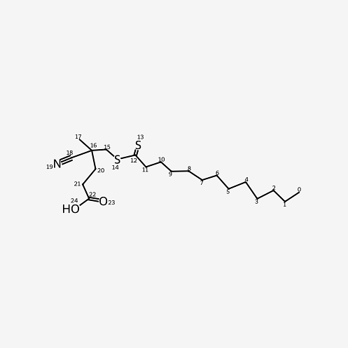 CCCCCCCCCCCCC(=S)SCC(C)(C#N)CCC(=O)O